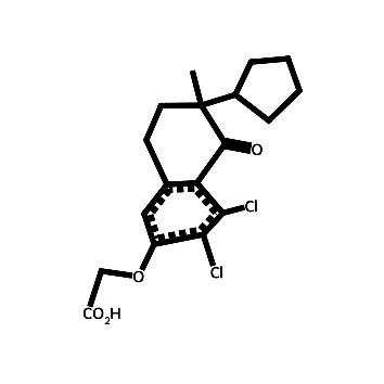 CC1(C2CCCC2)CCc2cc(OCC(=O)O)c(Cl)c(Cl)c2C1=O